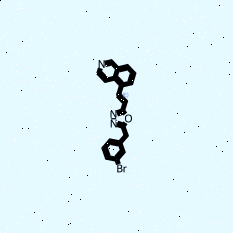 Brc1cccc(Cc2nnc(/C=C/c3cccc4cnccc34)o2)c1